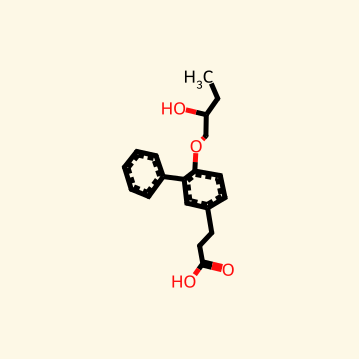 CCC(O)COc1ccc(CCC(=O)O)cc1-c1ccccc1